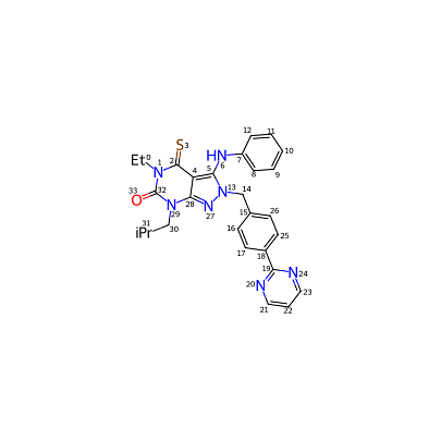 CCn1c(=S)c2c(Nc3ccccc3)n(Cc3ccc(-c4ncccn4)cc3)nc2n(CC(C)C)c1=O